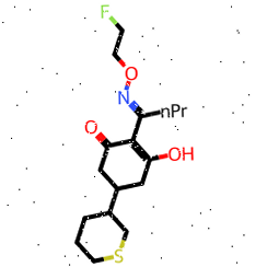 CCCC(=NOCCF)C1=C(O)CC(C2CCCSC2)CC1=O